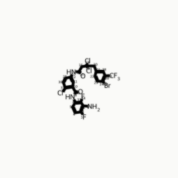 Nc1c(F)ccc(NC(=O)c2cc(NC(=O)CC(Cl)(Cl)Cc3ccc(Br)c(C(F)(F)F)c3)ccc2Cl)c1F